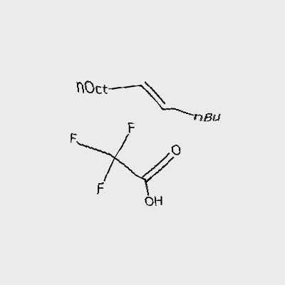 CCCC/C=C/CCCCCCCC.O=C(O)C(F)(F)F